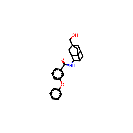 O=C(NC1C2CC3CC1CC(CO)(C3)C2)c1cccc(Oc2ccccc2)c1